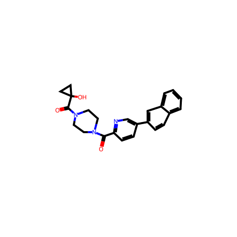 O=C(c1ccc(-c2ccc3ccccc3c2)cn1)N1CCN(C(=O)C2(O)CC2)CC1